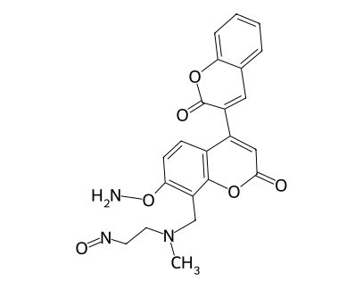 CN(CCN=O)Cc1c(ON)ccc2c(-c3cc4ccccc4oc3=O)cc(=O)oc12